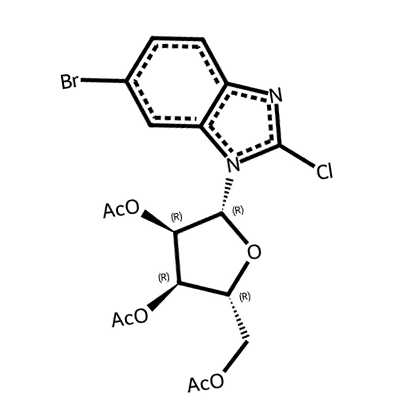 CC(=O)OC[C@H]1O[C@@H](n2c(Cl)nc3ccc(Br)cc32)[C@H](OC(C)=O)[C@@H]1OC(C)=O